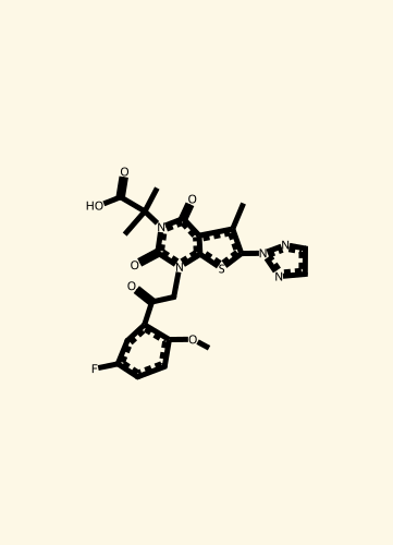 COc1ccc(F)cc1C(=O)Cn1c(=O)n(C(C)(C)C(=O)O)c(=O)c2c(C)c(-n3nccn3)sc21